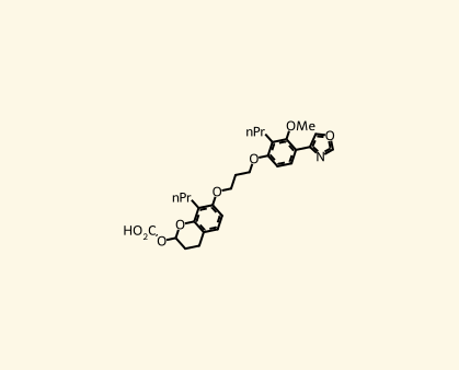 CCCc1c(OCCCOc2ccc(-c3cocn3)c(OC)c2CCC)ccc2c1OC(OC(=O)O)CC2